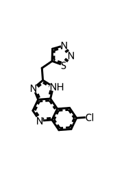 Clc1ccc2ncc3nc(Cc4cnns4)[nH]c3c2c1